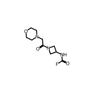 O=C(F)NC1CN(C(=O)CN2CCOCC2)C1